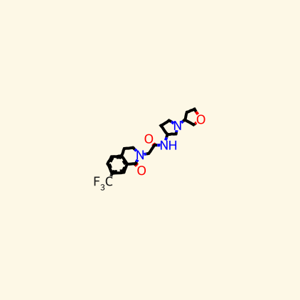 O=C(CN1CCc2ccc(C(F)(F)F)cc2C1=O)NC1CCN(C2CCOC2)C1